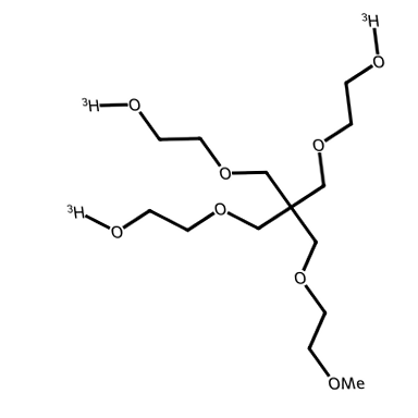 [3H]OCCOCC(COCCO[3H])(COCCO[3H])COCCOC